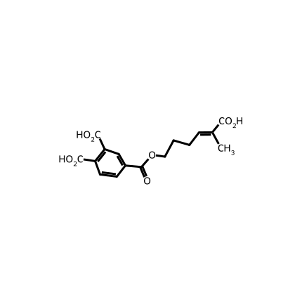 CC(=CCCCOC(=O)c1ccc(C(=O)O)c(C(=O)O)c1)C(=O)O